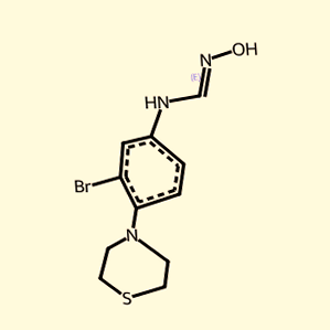 O/N=C/Nc1ccc(N2CCSCC2)c(Br)c1